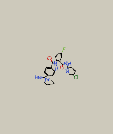 N=C(c1ccc(C(=O)Nc2ccc(F)cc2C(=O)Nc2ccc(Cl)cn2)cc1)N1CCCCC1